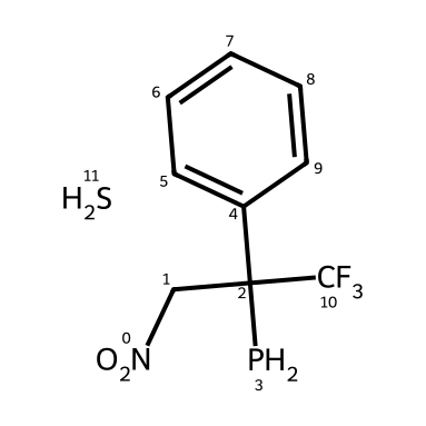 O=[N+]([O-])CC(P)(c1ccccc1)C(F)(F)F.S